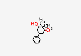 CC1(C)C(=O)CC(c2ccccc2)CC1O